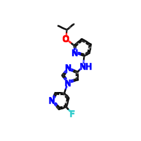 CC(C)Oc1cccc(Nc2cn(-c3cncc(F)c3)cn2)n1